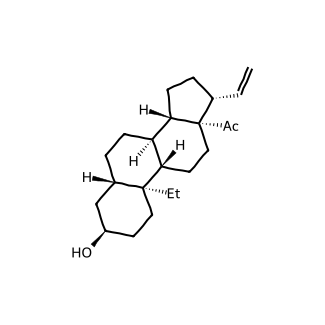 C=C[C@H]1CC[C@H]2[C@@H]3CC[C@H]4C[C@H](O)CC[C@]4(CC)[C@H]3CC[C@]12C(C)=O